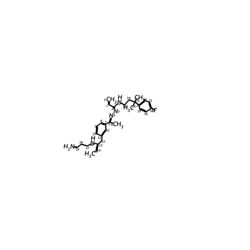 C=C/C(=N\N=C(/C)c1cccc(C/C(=C/C)NCCCN)c1)NCCC(C)(C)c1ccc(F)cc1